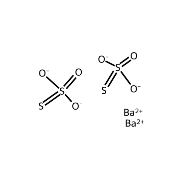 O=S([O-])([O-])=S.O=S([O-])([O-])=S.[Ba+2].[Ba+2]